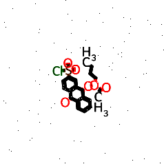 CCCCOC(C)=O.O=C1c2ccccc2C(=O)c2cc(S(=O)(=O)Cl)ccc21